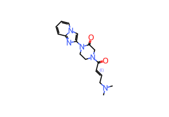 CN(C)C/C=C/C(=O)N1CCN(c2cn3ccccc3n2)C(=O)C1